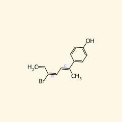 C=C/C(Br)=C\C=C(/C)c1ccc(O)cc1